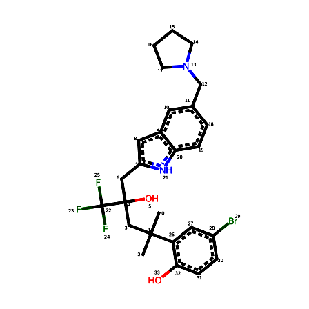 CC(C)(CC(O)(Cc1cc2cc(CN3CCCC3)ccc2[nH]1)C(F)(F)F)c1cc(Br)ccc1O